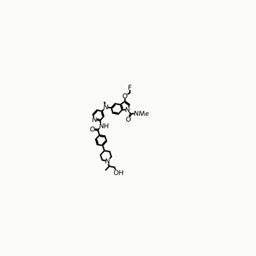 CNC(=O)n1cc(OCF)c2cc(N(C)c3ccnc(NC(=O)c4ccc(C5CCN(C(C)CO)CC5)cc4)c3)ccc21